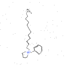 CCCCCCCCCCCCC[N+]1(Cc2ccccc2)CCCC1